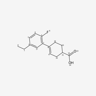 CCc1ccc(F)c(C2=CCC(C(=O)O)CC2)c1